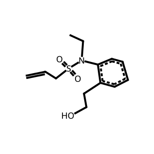 C=CCS(=O)(=O)N(CC)c1ccccc1CCO